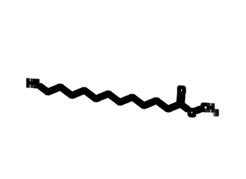 COC(=O)CCCCCCCCCCCS